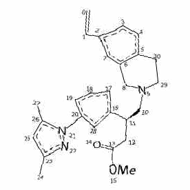 C=Cc1ccc2c(c1)CN(C[C@@H](CC(=O)OC)c1cccc(-n3nc(C)cc3C)c1)CC2